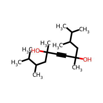 CC(C)C(C)CC(C)(O)C#CC(C)(O)CC(C)C(C)C